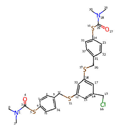 CN(C)C(=O)Sc1ccc(CSc2cc(CCl)cc(SCc3ccc(SC(=O)N(C)C)cc3)c2)cc1